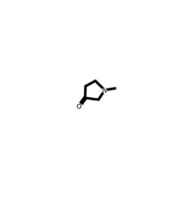 CN1CCC(=O)C1